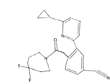 N#Cc1ccc(C(=O)N2CCC(F)(F)CC2)c(-c2cccc(C3CC3)n2)c1